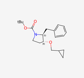 CC(C)(C)OC(=O)N1CC[C@@H](OCC2CC2)[C@@H]1Cc1ccccc1